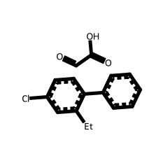 CCc1cc(Cl)ccc1-c1ccccc1.O=CC(=O)O